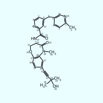 Cc1ccc(Cc2ccnc(C(=O)N[C@H]3COc4ccc(C#CC(C)(C)O)cc4N(C)C3=O)c2)cn1